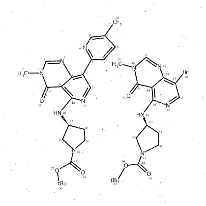 Cn1cnc2c(-c3ccc(C(F)(F)F)cn3)cnc(N[C@H]3CCN(C(=O)OC(C)(C)C)C3)c2c1=O.Cn1cnc2c(Br)cnc(N[C@H]3CCN(C(=O)OC(C)(C)C)C3)c2c1=O